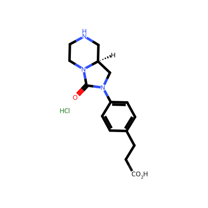 Cl.O=C(O)CCc1ccc(N2C[C@@H]3CNCCN3C2=O)cc1